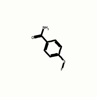 NC(=O)c1ccc(SF)cc1